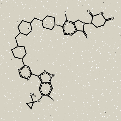 CC1(Oc2cc3c(-c4cc(N5CCN(CC6CCC(CN7CCN(c8ccc9c(c8F)CN(C8CCC(=O)NC8=O)C9=O)CC7)CC6)CC5)ncn4)n[nH]c3cc2F)CC1